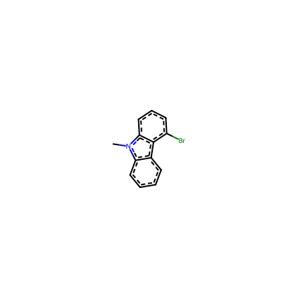 Cn1c2ccccc2c2c(Br)cccc21